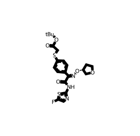 CC(C)(C)OC(=O)CSc1ccc(/C(=N\O[C@@H]2CCOC2)C(=O)Nc2ncc(F)s2)cc1